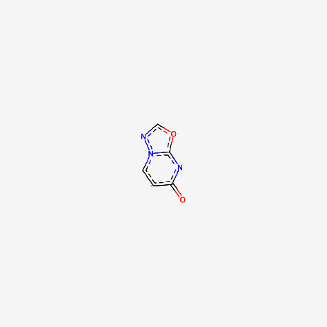 O=c1[c]cn2ncoc2n1